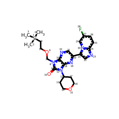 C[Si](C)(C)CCOCn1c(=O)n(C2CCOCC2)c2nc(-c3cnc4ccc(F)cn34)cnc21